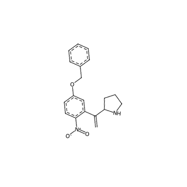 C=C(c1cc(OCc2ccccc2)ccc1[N+](=O)[O-])C1CCCN1